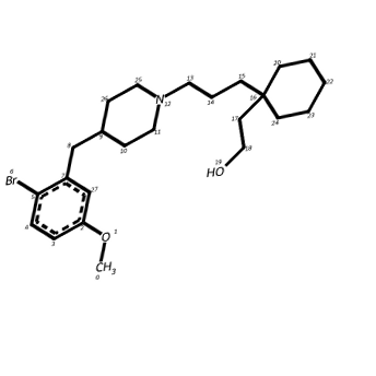 COc1ccc(Br)c(CC2CCN(CCCC3(CCO)CCCCC3)CC2)c1